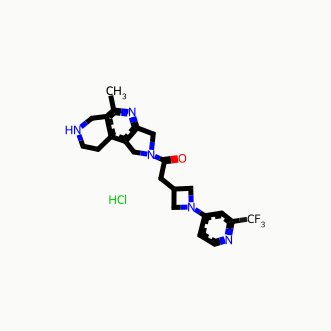 Cc1nc2c(c3c1CNCC3)CN(C(=O)CC1CN(c3ccnc(C(F)(F)F)c3)C1)C2.Cl